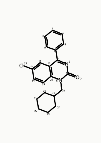 O=c1nc(-c2ccccc2)c2cc(Cl)ccc2n1CC1CCCCC1